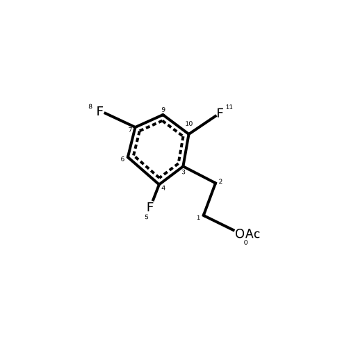 CC(=O)OCCc1c(F)cc(F)cc1F